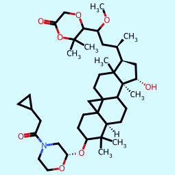 COC(C[C@@H](C)[C@H]1C[C@H](O)[C@@]2(C)C3CC[C@H]4C(C)(C)C(O[C@H]5CN(C(=O)CC6CC6)CCO5)CCC45CC35CCC12C)C1OCC(=O)OC1(C)C